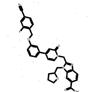 N#Cc1ccc(COc2cccc(-c3ccn(Cc4nc5ccc(C(=O)O)cc5n4CC4CCCO4)c(=O)c3)c2)c(F)c1